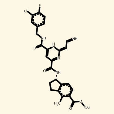 Cc1c(C(=O)OC(C)(C)C)ccc2c1CC[C@@H]2NC(=O)C1=N/C(=C/C=N)NC(C(=O)NCc2ccc(F)c(Cl)c2)=C1